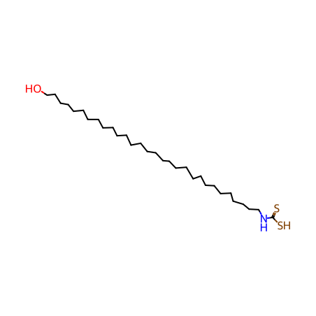 OCCCCCCCCCCCCCCCCCCCCCCCCCCCCCCNC(=S)S